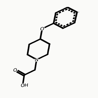 O=C(O)CN1CCC(Oc2cc[c]cc2)CC1